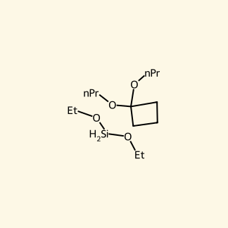 CCCOC1(OCCC)CCC1.CCO[SiH2]OCC